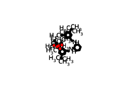 CC(C)(C)c1cc2c(c(C(C)(C)C)c1)OC(OC(C(F)(F)F)(C(F)(F)F)C(F)(F)F)Oc1c(cc(C(C)(C)C)cc1C(C)(C)C)/C=N/[C@@H]1CCCC[C@H]1/N=C/2